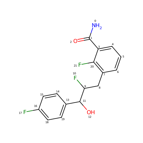 NC(=O)c1cccc(CC(F)C(O)c2ccc(F)cc2)c1F